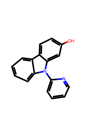 Oc1ccc2c3ccccc3n(-c3ccccn3)c2c1